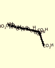 N[C@@H](CSCC(=O)NCCNC(=O)COCCOCCNC(=O)COCCOCCNC(=O)CC[C@H](NC(=O)CCCCCCCCCCCCC(=O)O)C(=O)O)C(=O)O